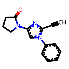 C#Cc1nc(N2CCCC2=O)cn1-c1ccccc1